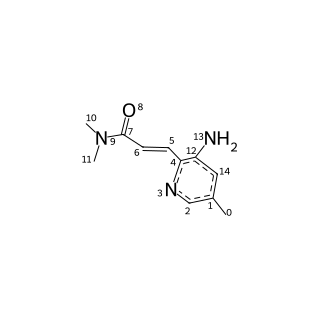 Cc1cnc(/C=C/C(=O)N(C)C)c(N)c1